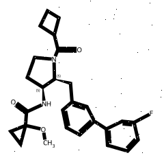 COC1(C(=O)N[C@H]2CCN(C(=O)C3CCC3)[C@H]2Cc2cccc(-c3cccc(F)c3)c2)CC1